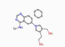 CCNc1ncnc2ccc(-n3cc(CO)c(CCO)c3)cc12.c1ccccc1